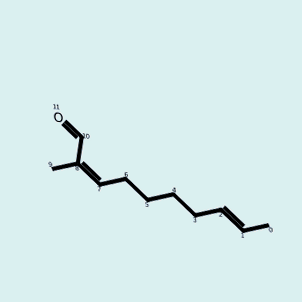 CC=CCCCCC=C(C)C=O